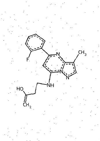 C=C(O)CCNc1cc(-c2ccccc2F)nc2c(C)cnn12